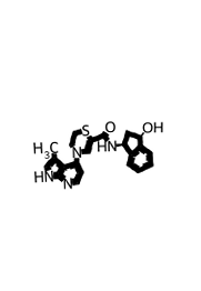 Cc1c[nH]c2nccc(N3C=C(C(=O)N[C@H]4C[C@H](O)c5ccccc54)SCC3)c12